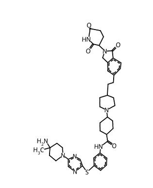 CC1(N)CCN(c2cnc(Sc3cccc(NC(=O)C4CCC(N5CCC(CCc6ccc7c(c6)CN(C6CCC(=O)NC6=O)C7=O)CC5)CC4)c3)cn2)CC1